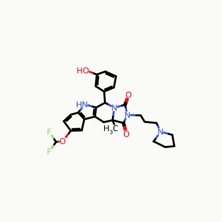 CC12Cc3c([nH]c4ccc(OC(F)F)cc34)C(c3cccc(O)c3)N1C(=O)N(CCCN1CCCC1)C2=O